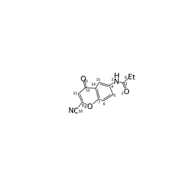 CCC(=O)Nc1ccc2oc(C#N)cc(=O)c2c1